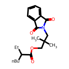 CCCCC(CC)C(=O)OCC(C)(C)CN1C(=O)c2ccccc2C1=O